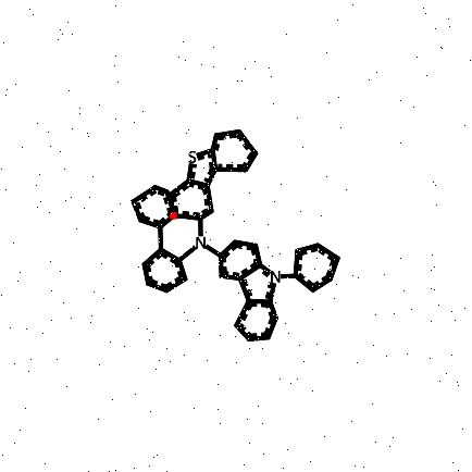 c1ccc(-c2ccccc2N(c2ccc3sc4ccccc4c3c2)c2ccc3c(c2)c2ccccc2n3-c2ccccc2)cc1